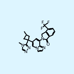 CC1CC(c2cc(N3Cc4c(cccc4C(F)(F)F)C3=O)c3nccn3c2)(c2nncn2C)C1